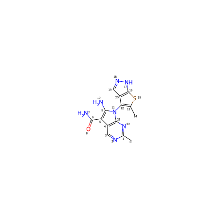 Cc1ncc2c(C(N)=O)c(N)n(-c3c(C)sc4[nH]ncc34)c2n1